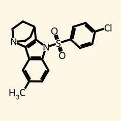 Cc1ccc2c(c1)c1c(n2S(=O)(=O)c2ccc(Cl)cc2)C2CCN1CC2